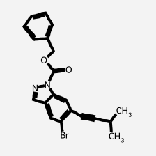 CC(C)C#Cc1cc2c(cnn2C(=O)OCc2ccccc2)cc1Br